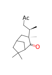 CC(=O)C[C@@H](C)[C@]1(C)CC2CC(C1=O)C(C)(C)C2